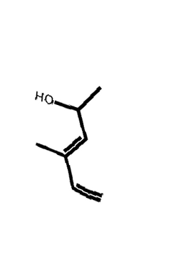 C=CC(C)=CC(C)O